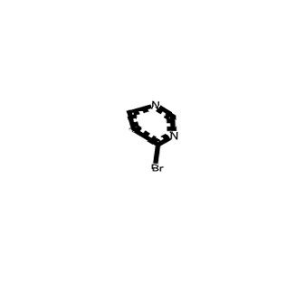 Brc1[c]cncn1